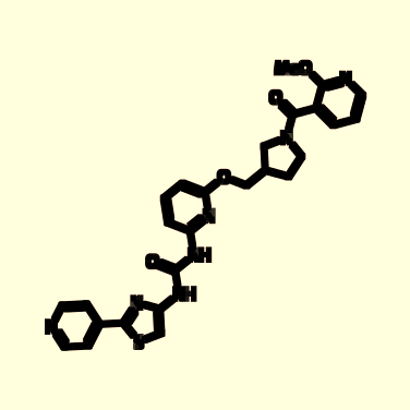 COc1ncccc1C(=O)N1CCC(COc2cccc(NC(=O)Nc3csc(-c4ccncc4)n3)n2)C1